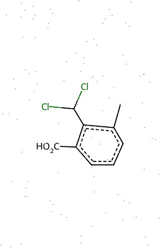 Cc1cccc(C(=O)O)c1C(Cl)Cl